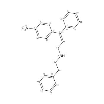 O=[N+]([O-])c1ccc(/C(=C\CNCCc2ccccc2)c2ccccc2)cc1